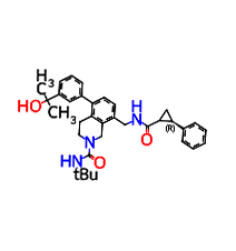 CC(C)(C)NC(=O)N1CCc2c(-c3cccc(C(C)(C)O)c3)ccc(CNC(=O)C3C[C@H]3c3ccccc3)c2C1